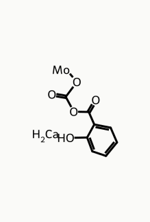 O=C([O][Mo])OC(=O)c1ccccc1O.[CaH2]